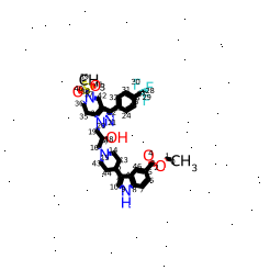 CCOC(=O)c1ccc2[nH]cc(C3CCN(C[C@H](O)Cn4nc(-c5ccc(C(F)(F)F)cc5)c5c4CCN(S(C)(=O)=O)C5)CC3)c2c1